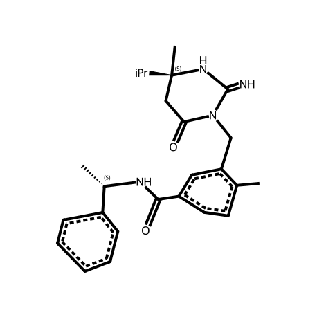 Cc1ccc(C(=O)N[C@@H](C)c2ccccc2)cc1CN1C(=N)N[C@](C)(C(C)C)CC1=O